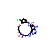 CN1CCNc2ncnc3c2/C(=C/Nc2ccc(Cl)c(c2)OCCCC1=O)C(=O)N3